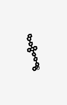 c1ccc2cc(-c3ccc(-c4c5ccccc5c(-c5ccc(-c6ccc(-c7ccc8oc9ccccc9c8c7)cc6)cc5)c5ccccc45)cc3)ccc2c1